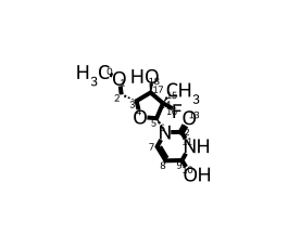 COC[C@H]1O[C@@H](N2C=CC(O)NC2=O)[C@](C)(F)[C@@H]1O